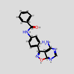 Nc1ncnc2onc(-c3ccc(NC(=O)c4ccccc4)cc3)c12